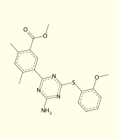 COC(=O)c1cc(-c2nc(N)nc(Sc3ccccc3OC)n2)c(C)cc1C